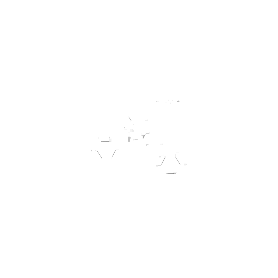 COCCOC(=O)[C@H](Cc1ccccc1)NC(=O)OCc1ccccc1